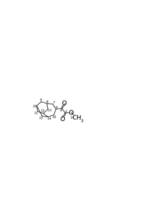 COC(=O)C(=O)C1CC2CC3CC(C2)C(C3)C1